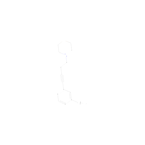 O=Cc1cccc(C#CCCN2CCSCC2)c1